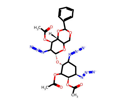 CC(=O)OC1[C@H](O[C@H]2OC3COC(c4ccccc4)O[C@H]3[C@H](OC(C)=O)C2N=[N+]=[N-])C(N=[N+]=[N-])C[C@@H](N=[N+]=[N-])[C@H]1OC(C)=O